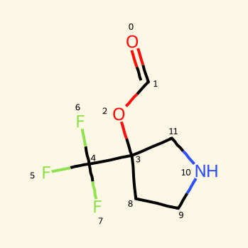 O=COC1(C(F)(F)F)CCNC1